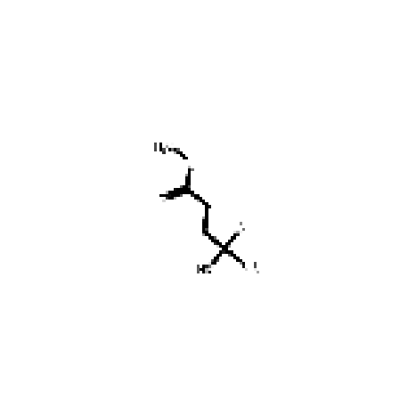 COC(=O)CCC(C)(S)S